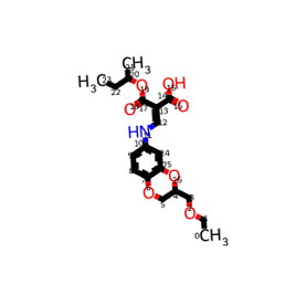 CCOCC1COc2ccc(NC=C(C(=O)O)C(=O)OC(C)CC)cc2O1